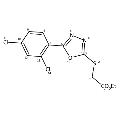 CCOC(=O)CSc1nnc(-c2ccc(Cl)cc2Cl)o1